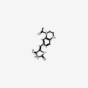 CC(=O)N1CCOc2ccc(/C=C3\SC(=O)NC3=O)cc21